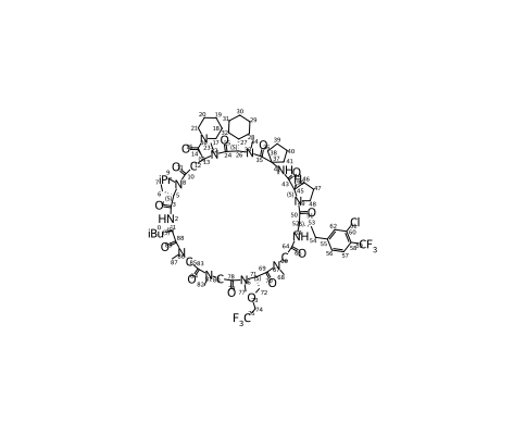 CC[C@H](C)[C@@H]1NC(=O)[C@H](CC(C)C)N(C)C(=O)C[C@@H](C(=O)N2CCCCC2)N(C)C(=O)[C@H](C2CCCCC2)N(C)C(=O)C2(CCCC2)NC(=O)[C@@H]2CCCN2C(=O)[C@H](CCc2ccc(C(F)(F)F)c(Cl)c2)NC(=O)CN(C)C(=O)[C@H](COCC(F)(F)F)N(C)C(=O)CN(C)C(=O)CN(C)C1=O